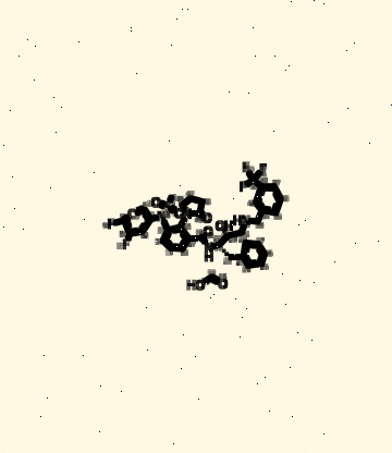 CS(=O)(=O)N(c1ccc(F)c(F)c1)c1cccc(C(=O)N[C@@H](Cc2ccccc2)[C@H](O)CNCc2cccc(C(F)(F)F)c2)c1N1CCCC1=O.O=CO